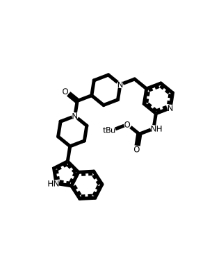 CC(C)(C)OC(=O)Nc1cc(CN2CCC(C(=O)N3CCC(c4c[nH]c5ccccc45)CC3)CC2)ccn1